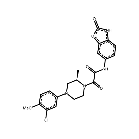 COc1ccc(N2CCN(C(=O)C(=O)Nc3ccc4[nH]c(=O)oc4c3)[C@H](C)C2)cc1Cl